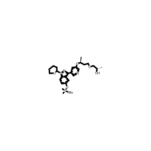 C[C@H](O)COCC[C@H](C)Oc1cncc(-c2nn(C3CCCCO3)c3ccc(O[Si](C)(C)C(C)(C)C)cc23)c1